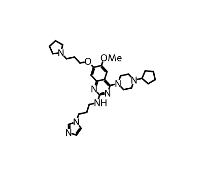 COc1cc2c(N3CCN(C4CCCC4)CC3)nc(NCCCn3ccnc3)nc2cc1OCCCN1CCCC1